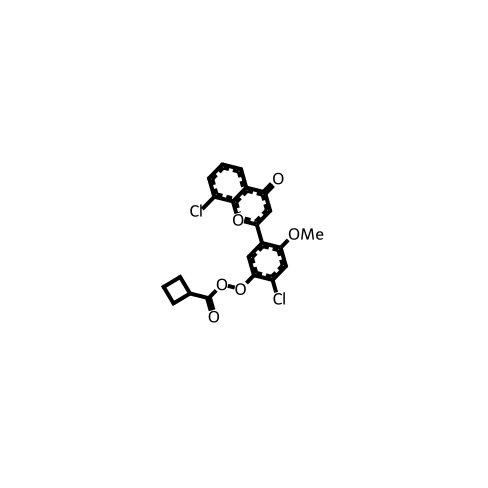 COc1cc(Cl)c(OOC(=O)C2CCC2)cc1-c1cc(=O)c2cccc(Cl)c2o1